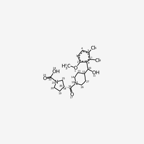 COc1ccc(Cl)c(Cl)c1C(O)C1CCN(C(=O)[C@@H]2CCN(C(=O)O)C2)CC1